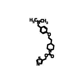 CN(C)Cc1ccc(OCCC2CCN(C(=O)OCc3cncs3)CC2)cc1